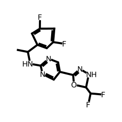 CC(Nc1ncc(C2=NNC(C(F)F)O2)cn1)c1cc(F)cc(F)c1